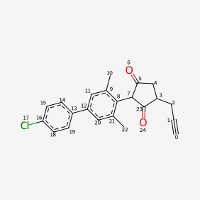 C#CCC1CC(=O)C(c2c(C)cc(-c3ccc(Cl)cc3)cc2C)C1=O